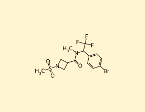 CN(C(=O)C1CN(S(C)(=O)=O)C1)C(c1ccc(Br)cc1)C(F)(F)F